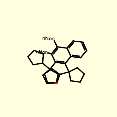 CCCCCCCCCc1c(C2(C3CCCC3)CCCC2)c(C2(C3CCCC3)CCCC2)c2ccccc2c1CCCCCCCCC